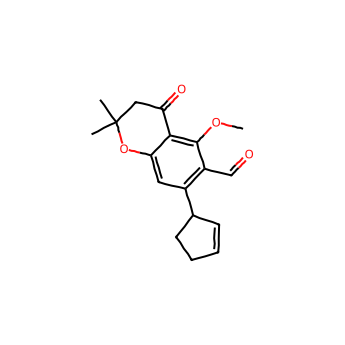 COc1c(C=O)c(C2C=CCC2)cc2c1C(=O)CC(C)(C)O2